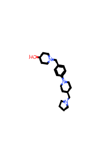 OC1CCN(Cc2ccc(N3CCC(CN4CCCC4)CC3)cc2)CC1